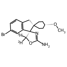 [2H]C1([2H])OC(N)=N[C@]12c1cc(Br)ccc1C[C@]21CC[C@@H](OC)CC1